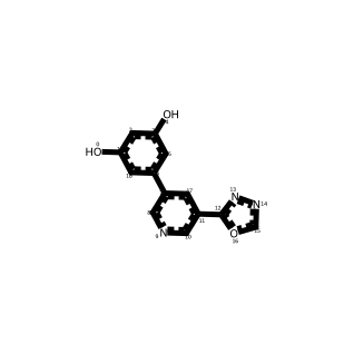 Oc1cc(O)cc(-c2cncc(-c3nnco3)c2)c1